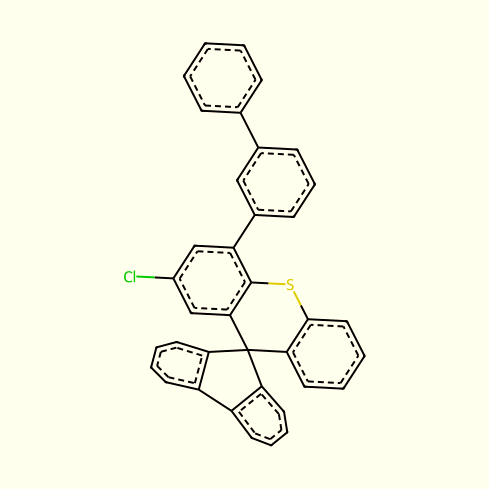 Clc1cc(-c2cccc(-c3ccccc3)c2)c2c(c1)C1(c3ccccc3S2)c2ccccc2-c2ccccc21